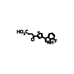 O=C(O)CCC(=O)c1cc(-c2c[nH]c3c(F)cccc23)cs1